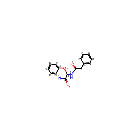 [NH]C(=O)C(NC(=O)Cc1ccccc1)Oc1ccccc1